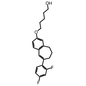 OCCCCCOc1ccc2c(c1)CCCC(c1ccc(F)cc1F)=C2